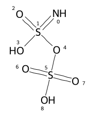 N=S(=O)(O)OS(=O)(=O)O